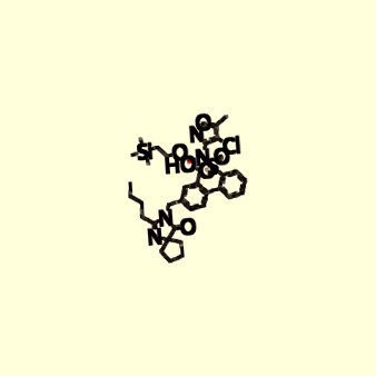 CCCCC1=NC2(CCCC2)C(=O)N1Cc1ccc(-c2ccccc2S(=O)(=O)N(COCC[Si](C)(C)C)c2noc(C)c2Cl)c(CO)c1